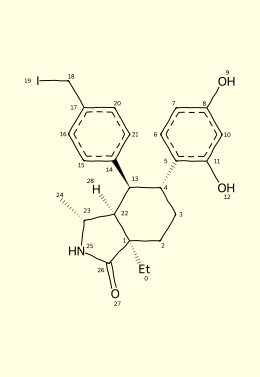 CC[C@@]12CC[C@@H](c3ccc(O)cc3O)[C@H](c3ccc(CI)cc3)[C@@H]1[C@@H](C)NC2=O